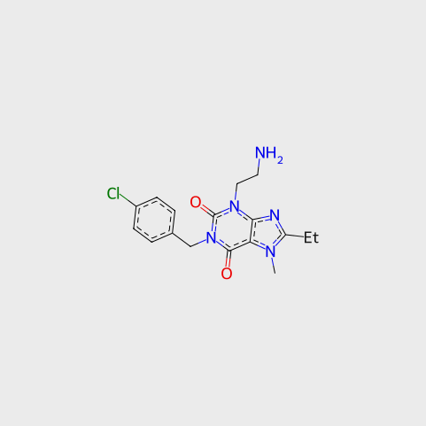 CCc1nc2c(c(=O)n(Cc3ccc(Cl)cc3)c(=O)n2CCN)n1C